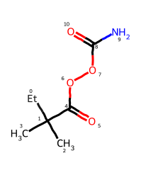 CCC(C)(C)C(=O)OOC(N)=O